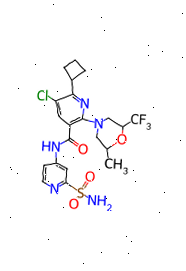 CC1CN(c2nc(C3CCC3)c(Cl)cc2C(=O)Nc2ccnc(S(N)(=O)=O)c2)CC(C(F)(F)F)O1